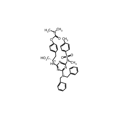 Cc1ccc(S(=O)(=O)N(C)c2nc(N[C@@H](Cc3ccc(OC(=O)N(C)C)cc3)C(=O)O)nc(N(Cc3ccccc3)Cc3ccccc3)n2)cc1